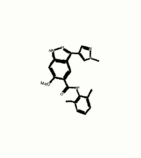 COc1cc2[nH]nc(-c3cnn(C)c3)c2cc1C(=O)Nc1c(C)cccc1C